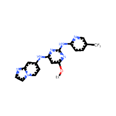 CCOc1cc(Nc2ccn3ccnc3c2)nc(Nc2ccc(C)cn2)n1